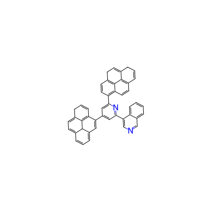 C1=CC2=CC=C3CC=CC4=C3C2C(=C1)C=C4c1cc(-c2cncc3ccccc23)nc(-c2ccc3c4c5c(ccc24)C=CCC5=CC3)c1